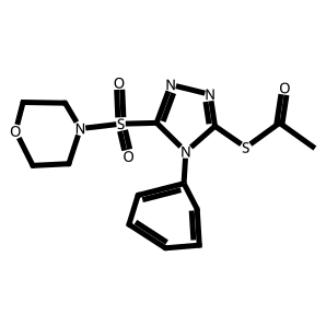 CC(=O)Sc1nnc(S(=O)(=O)N2CCOCC2)n1-c1ccccc1